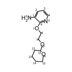 Nc1cccnc1OCCOC1CCCCO1